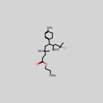 COCCOC(=O)CCC(C)(C#N)CC(C1=CC=C(OC(C)=O)CC1)C(C)CC(C)(S)C=O